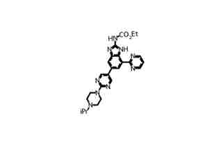 CCOC(=O)Nc1nc2cc(-c3cnc(N4CCN(C(C)C)CC4)nc3)cc(-c3ncccn3)c2[nH]1